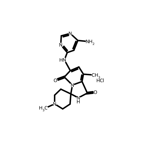 Cc1cc(Nc2cc(N)ncn2)c(=O)n2c1C(=O)NC21CCN(C)CC1.Cl